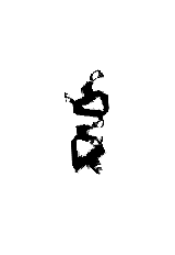 O=Cc1ccc(OCc2ccc(F)cn2)cc1F